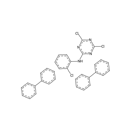 Clc1nc(Cl)nc(Nc2ccccc2Cl)n1.c1ccc(-c2ccccc2)cc1.c1ccc(-c2ccccc2)cc1